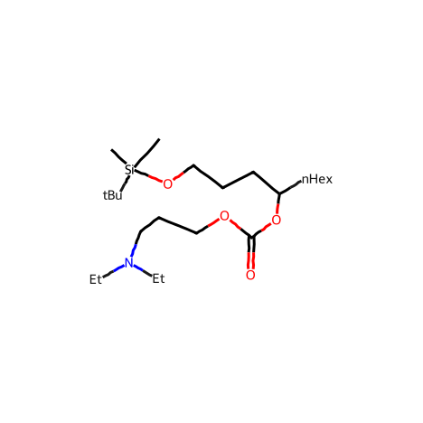 CCCCCCC(CCCO[Si](C)(C)C(C)(C)C)OC(=O)OCCCN(CC)CC